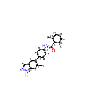 Cc1cc2[nH]ncc2cc1-c1ccc(NC(=O)c2c(F)cccc2F)cc1